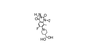 Cc1c(N2CCC(C(O)O)CC2)c(F)cc2c(=O)n(N)c(=O)n(C3CC3)c12